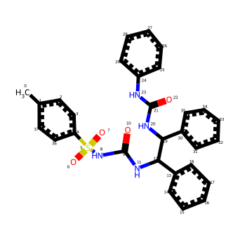 Cc1ccc(S(=O)(=O)NC(=O)NC(c2ccccc2)C(NC(=O)Nc2ccccc2)c2ccccc2)cc1